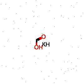 O=CO.[KH]